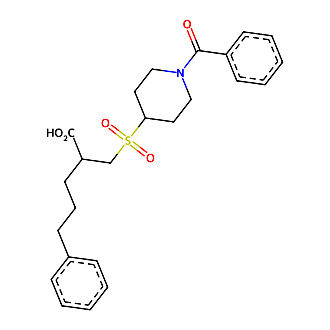 O=C(O)C(CCCc1ccccc1)CS(=O)(=O)C1CCN(C(=O)c2ccccc2)CC1